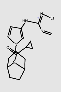 C=N/C(=N\CC)Nc1cnn(C2CC3CCC(C2)N3C(=O)C2CC2)c1